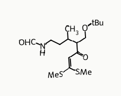 CSC(=CC(=O)C(COC(C)(C)C)C(C)CCNC=O)SC